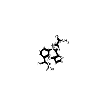 CCCCOC(c1cccc(-n2nc(C(N)=O)nc2-c2sccc2C)c1)C(C)C